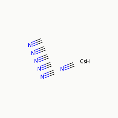 C#N.C#N.C#N.C#N.C#N.C#N.[CsH]